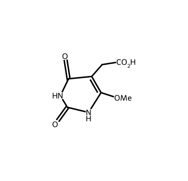 COc1[nH]c(=O)[nH]c(=O)c1CC(=O)O